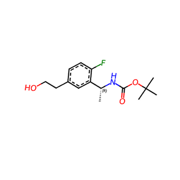 C[C@@H](NC(=O)OC(C)(C)C)c1cc(CCO)ccc1F